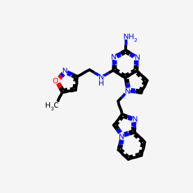 Cc1cc(CNc2nc(N)nc3ccn(Cc4cn5ccccc5n4)c23)no1